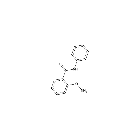 NOc1ccccc1C(=O)Nc1ccccc1